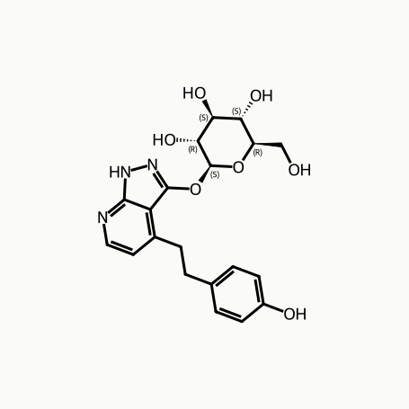 OC[C@H]1O[C@@H](Oc2n[nH]c3nccc(CCc4ccc(O)cc4)c23)[C@H](O)[C@@H](O)[C@@H]1O